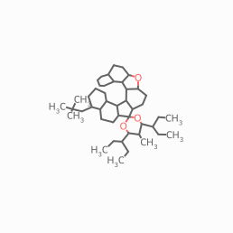 CCC(CC)C1OC2(OC(C(CC)CC)C1C)C1CCC3C(CC(C)(C)C)CCCC3C1C1C3C(CCC12)OC1CCC2CCCCC2C13